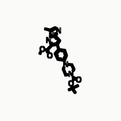 COC(=O)c1nn2c(C)cnc2cc1-c1ccc(N2CCN(C(=O)OC(C)(C)C)CC2)cc1